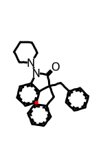 O=C1N(N2CCCCC2)c2ccccc2C1(Cc1ccccc1)Cc1ccccc1